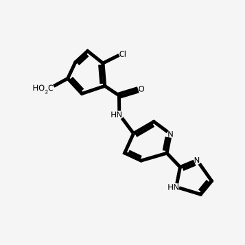 O=C(O)c1ccc(Cl)c(C(=O)Nc2ccc(-c3ncc[nH]3)nc2)c1